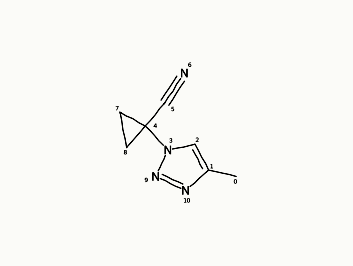 Cc1cn(C2(C#N)CC2)nn1